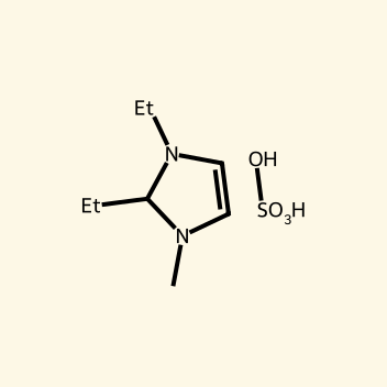 CCC1N(C)C=CN1CC.O=S(=O)(O)O